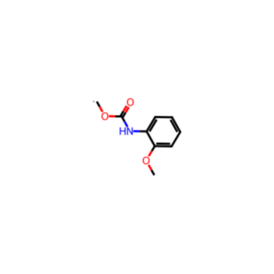 [CH2]OC(=O)Nc1ccccc1OC